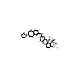 Cc1cccc(Nc2nc(Nc3ccc4c(c3)CC[C@@H](N3CCCC3)CC4)ncc2Cl)c1P(C)(C)=O